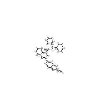 Cn1cc2cc(-c3nc(NCC(c4ccccc4)c4ccccc4)c4ccccc4n3)ccc2n1